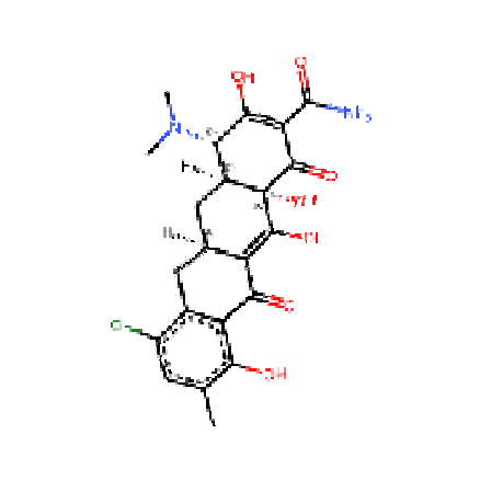 Cc1cc(Cl)c2c(c1O)C(=O)C1=C(O)[C@]3(O)C(=O)C(C(N)=O)=C(O)[C@@H](N(C)C)[C@@H]3C[C@@H]1C2